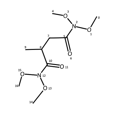 CON(OC)C(=O)CC(C)C(=O)N(OC)OC